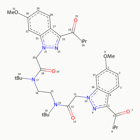 COc1ccc2c(C(=O)C(C)C)nn(CC(=O)N(CCN(C(=O)Cn3nc(C(=O)C(C)C)c4ccc(OC)cc43)C(C)(C)C)C(C)(C)C)c2c1